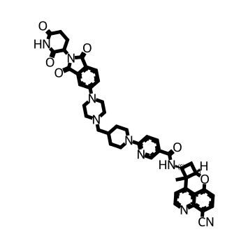 CC12c3ccnc4c(C#N)ccc(c34)O[C@H]1C[C@@H]2NC(=O)c1ccc(N2CCC(CN3CCN(c4ccc5c(c4)C(=O)N(C4CCC(=O)NC4=O)C5=O)CC3)CC2)nc1